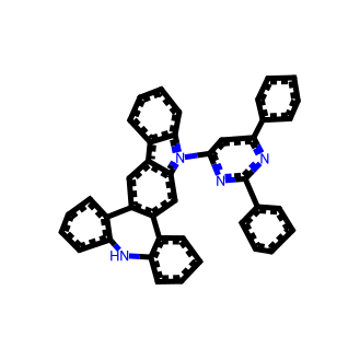 c1ccc(-c2cc(-n3c4ccccc4c4cc5c(cc43)-c3ccccc3Nc3ccccc3-5)nc(-c3ccccc3)n2)cc1